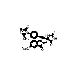 COc1ccc2c(c1)C(=O)N(C[C@@]1(C#Cc3ccc(-n4c(C)n[nH]c4=O)cc3)NC(=O)NC1=O)C2